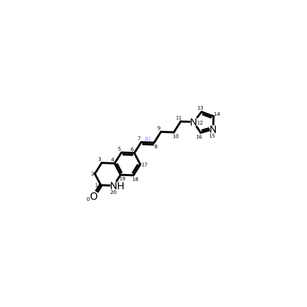 O=C1CCc2cc(/C=C/CCCn3ccnc3)ccc2N1